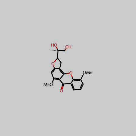 COc1cccc2c(=O)c3c(OC)cc4c(c3oc12)CC([C@@](C)(O)CO)O4